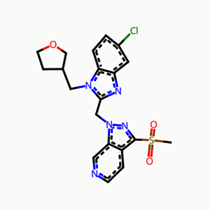 CS(=O)(=O)c1nn(Cc2nc3cc(Cl)ccc3n2CC2CCOC2)c2cnccc12